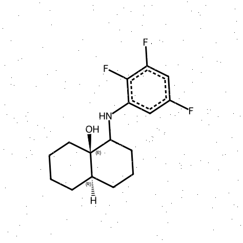 O[C@]12CCCC[C@@H]1CCCC2Nc1cc(F)cc(F)c1F